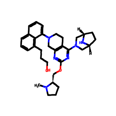 CN1CCC[C@H]1COc1nc2c(c(N3C[C@H]4CC[C@@H](C3)N4)n1)CCN(c1cccc3cccc(CCCO)c13)C2